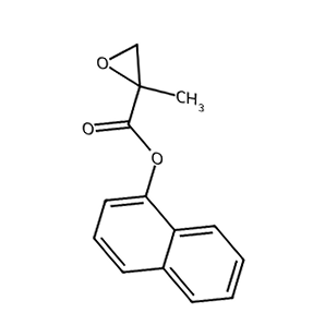 CC1(C(=O)Oc2cccc3ccccc23)CO1